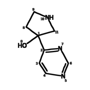 OC1(c2ccncn2)CCNC1